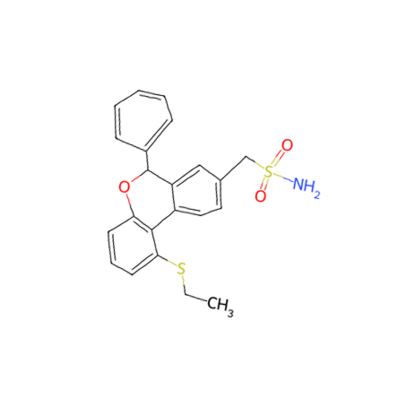 CCSc1cccc2c1-c1ccc(CS(N)(=O)=O)cc1C(c1ccccc1)O2